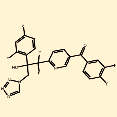 O=C(c1ccc(C(F)(F)C(O)(Cn2cnnn2)c2ccc(F)cc2F)nc1)c1ccc(F)c(F)c1